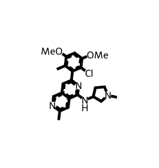 COc1cc(OC)c(Cl)c(-c2cc3cnc(C)cc3c(NC3CCN(C)C3)n2)c1C